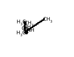 CCCCCCCCCCCCCCCCCCNC(=O)c1cccc(C)c1COC(=O)NCCCN(C)C